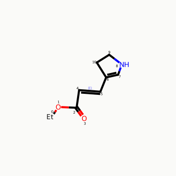 CCOC(=O)/C=C/C1=CNCC1